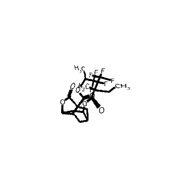 CCC(C)(C(=O)OC1C2CC3C1OC(=O)C3(C(=O)OC(C)C(F)(F)F)C2)C(F)(F)F